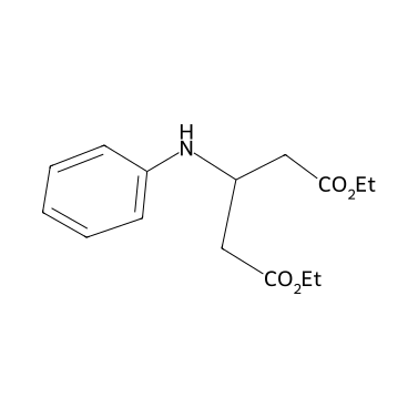 CCOC(=O)CC(CC(=O)OCC)Nc1ccccc1